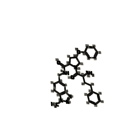 Cn1nnc2cc(CNC(=O)C3CC(Oc4ccccc4)CN3C(=O)C(N)CCc3ccccc3)ccc21